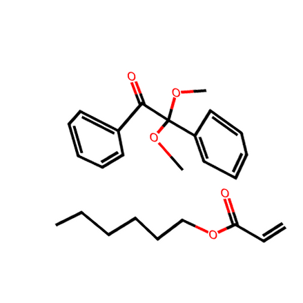 C=CC(=O)OCCCCCC.COC(OC)(C(=O)c1ccccc1)c1ccccc1